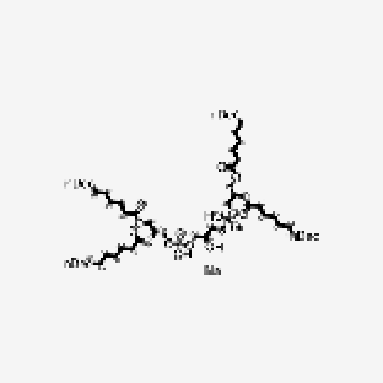 CCCCCCCCCCCCCCCC(=O)OC[C@H](COP(=O)(O)OCC(O)COP(=O)(O)OC[C@@H](COC(=O)CCCCCCCCCCCCCCC)OC(=O)CCCCCCCCCCCCCCC)OC(=O)CCCCCCCCCCCCCCC.[Na]